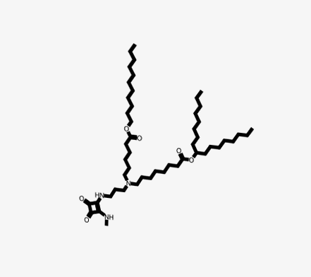 CCCCCCCCCCCOC(=O)CCCCCN(CCCCCCCC(=O)OC(CCCCCCCC)CCCCCCCC)CCCNc1c(NC)c(=O)c1=O